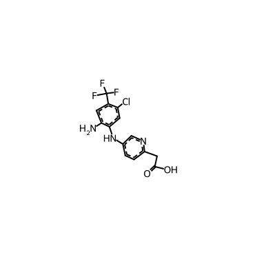 Nc1cc(C(F)(F)F)c(Cl)cc1Nc1ccc(CC(=O)O)nc1